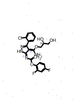 C=C(/N=C1/NN=C(c2ccccc2Cl)/C1=C(/N)OC[C@@H](O)CO)Oc1ccc(F)cc1F